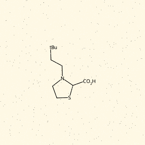 CC(C)(C)CCN1CCSC1C(=O)O